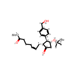 COC(=O)CCC/C=C\C[C@H]1C(=O)C[C@@H](O[Si](C)(C)C(C)(C)C)[C@@H]1c1ccc(CO)cc1